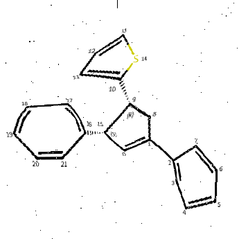 C1=C(c2ccccc2)C[C@@H](c2cccs2)[C@H]1c1ccccc1